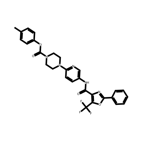 Cc1ccc(OC(=O)N2CCN(c3ccc(NC(=O)c4nc(-c5ccccc5)oc4C(F)(F)F)cn3)CC2)cc1